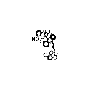 O=C(CCC[n+]1c2ccccc2c(C(=O)Oc2c([N+](=O)[O-])cccc2[N+](=O)[O-])c2ccccc21)ON1C(=O)CCC1=O